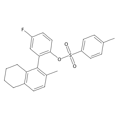 Cc1ccc(S(=O)(=O)Oc2ccc(F)cc2-c2c(C)ccc3c2CCCC3)cc1